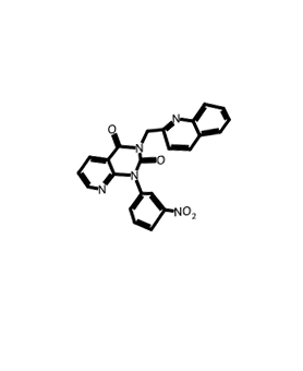 O=c1c2cccnc2n(-c2cccc([N+](=O)[O-])c2)c(=O)n1Cc1ccc2ccccc2n1